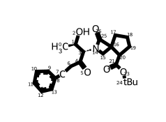 C[C@@H](O)[C@@H](C(=O)CCc1ccccc1)N1CC2(CCCC2C(=O)OC(C)(C)C)C1=O